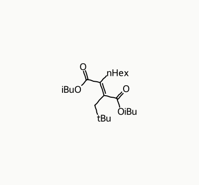 CCCCCCC(C(=O)OCC(C)C)=C(CC(C)(C)C)C(=O)OCC(C)C